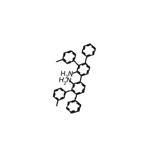 Cc1cccc(-c2c(-c3ccccc3)ccc(-c3ccc(-c4ccccc4)c(-c4cccc(C)c4)c3N)c2N)c1